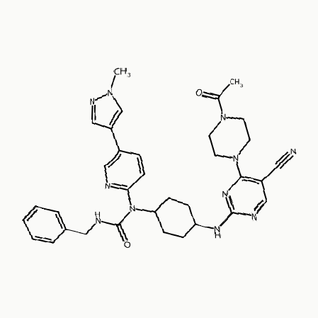 CC(=O)N1CCN(c2nc(NC3CCC(N(C(=O)NCc4ccccc4)c4ccc(-c5cnn(C)c5)cn4)CC3)ncc2C#N)CC1